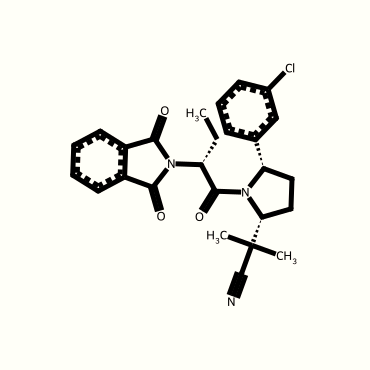 CC[C@H](C(=O)N1[C@H](c2cccc(Cl)c2)CC[C@@H]1C(C)(C)C#N)N1C(=O)c2ccccc2C1=O